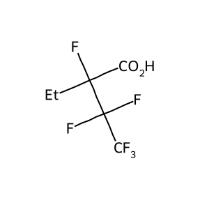 CCC(F)(C(=O)O)C(F)(F)C(F)(F)F